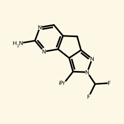 CC(C)c1c2c(nn1C(F)F)Cc1cnc(N)nc1-2